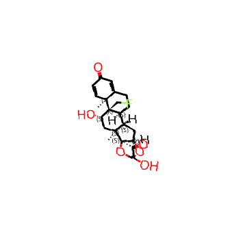 C[C@]12C=CC(=O)C=C1CC[C@H]1[C@@H]3C[C@H]4OCO[C@@]4(C(=O)CO)[C@@]3(C)C[C@H](O)[C@@]12CF